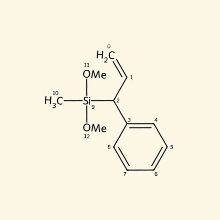 C=CC(c1ccccc1)[Si](C)(OC)OC